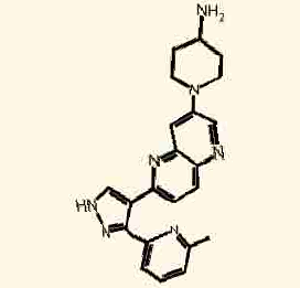 Cc1cccc(-c2n[nH]cc2-c2ccc3ncc(N4CCC(N)CC4)cc3n2)n1